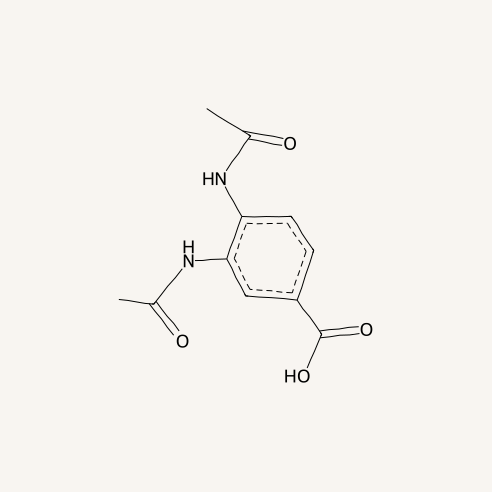 CC(=O)Nc1ccc(C(=O)O)cc1NC(C)=O